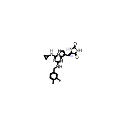 Cc1ccc(CNc2nc(NC3CC3)n3ncc(/C=C4\NC(=O)NC4=O)c3n2)cc1F